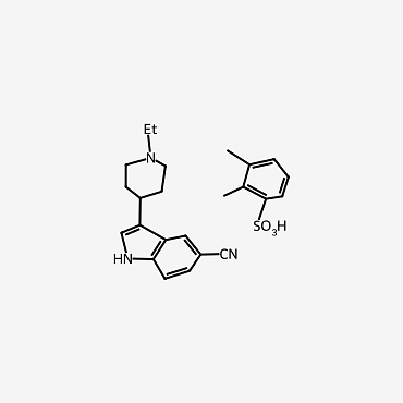 CCN1CCC(c2c[nH]c3ccc(C#N)cc23)CC1.Cc1cccc(S(=O)(=O)O)c1C